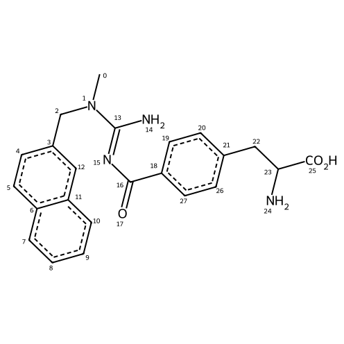 CN(Cc1ccc2ccccc2c1)C(N)=NC(=O)c1ccc(CC(N)C(=O)O)cc1